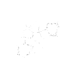 CC1(c2ccccc2)OS(=O)(=O)C2=C1S(=O)(=O)OC2(c1ccccc1)C(F)(F)F